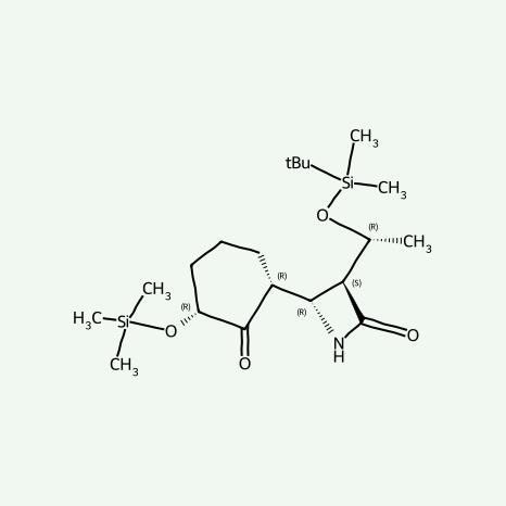 C[C@@H](O[Si](C)(C)C(C)(C)C)[C@H]1C(=O)N[C@@H]1[C@H]1CCC[C@@H](O[Si](C)(C)C)C1=O